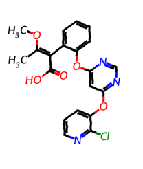 COC(C)=C(C(=O)O)c1ccccc1Oc1cc(Oc2cccnc2Cl)ncn1